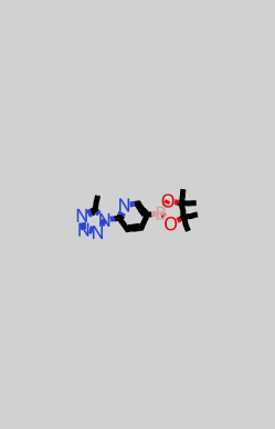 Cc1nnnn1-c1ccc(B2OC(C)(C)C(C)(C)O2)cn1